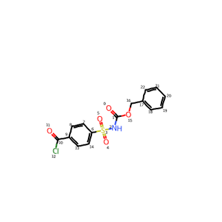 O=C(NS(=O)(=O)c1ccc(C(=O)Cl)cc1)OCc1ccccc1